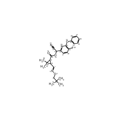 CC(C)(C)CON=CC1C(C(=O)OC(C#N)c2ccc(F)c(Oc3ccccc3)n2)C1(C)C